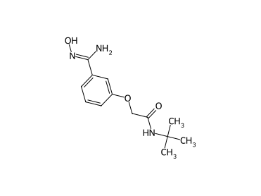 CC(C)(C)NC(=O)COc1cccc(C(N)=NO)c1